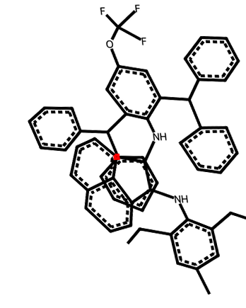 CCc1cc(C)cc(CC)c1NC1c2cccc3cccc(c23)C1Nc1c(C(c2ccccc2)c2ccccc2)cc(OC(F)(F)F)cc1C(c1ccccc1)c1ccccc1